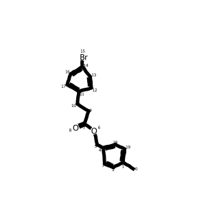 Cc1ccc(COC(=O)CCc2ccc(Br)cc2)cc1